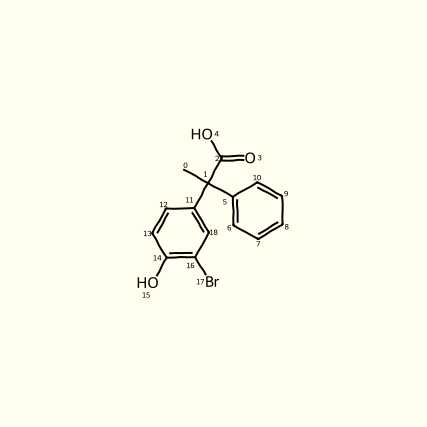 CC(C(=O)O)(c1ccccc1)c1ccc(O)c(Br)c1